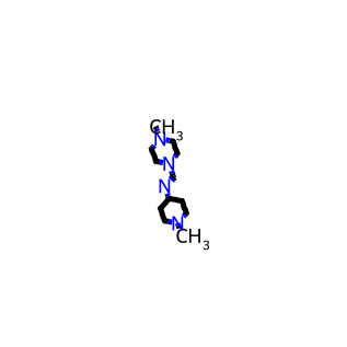 CN1CCC(N=CN2CCN(C)CC2)CC1